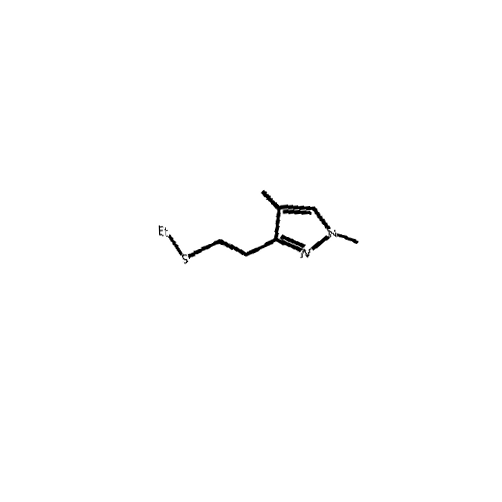 CCSCCc1nn(C)cc1C